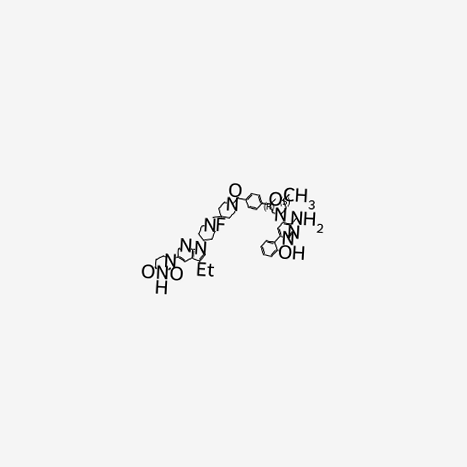 CCc1cn(C2CCN(CC3(F)CCN(C(=O)c4ccc([C@@H]5CN(c6cc(-c7ccccc7O)nnc6N)C[C@H](C)O5)cc4)CC3)CC2)c2ncc(N3CCC(=O)NC3=O)cc12